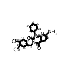 Nc1ccc2c(=O)n(Cc3ccc(Cl)c(Cl)c3)c(=O)n(-c3ccccc3)c2n1